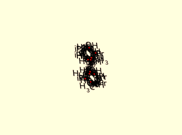 CC(C)C[C@@H]1NC(=O)[C@H]2C[C@@H](C)CNN2C(=O)[C@H](C(C)C)OC(=O)[C@@H](C(C)C)NC(=O)[C@@H]2C[C@@]3(O)c4cc(-c5ccc6c(c5)[C@]5(O)C[C@H]7C(=O)N[C@H](C(C)C)C(=O)O[C@@H](C(C)C)C(=O)N8NC[C@H](O)C[C@@H]8C(=O)N[C@@H](CC(C)C)C(=O)N[C@H]([C@H](C)O)C(=O)N7[C@@H]5N6)ccc4N[C@H]3N2C(=O)[C@@H]([C@H](C)O)NC1=O